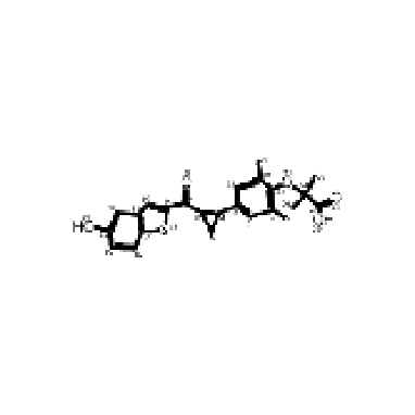 Cc1cc(C2CC2C(=O)c2cc3cc(O)ccc3s2)cc(C)c1OC(C)(C)C(=O)O